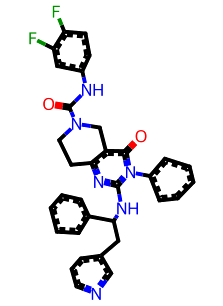 O=C(Nc1ccc(F)c(F)c1)N1CCc2nc(NC(Cc3cccnc3)c3ccccc3)n(-c3ccccc3)c(=O)c2C1